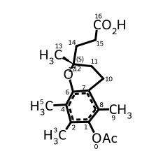 CC(=O)Oc1c(C)c(C)c2c(c1C)CC[C@@](C)(CCC(=O)O)O2